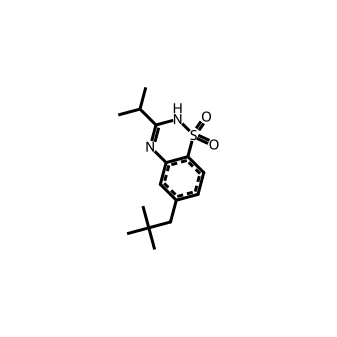 CC(C)C1=Nc2cc(CC(C)(C)C)ccc2S(=O)(=O)N1